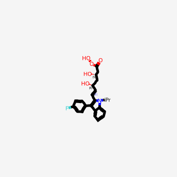 CC(C)n1c(/C=C/[C@H](O)C[C@H](O)CC(=O)OO)c(-c2ccc(F)cc2)c2ccccc21